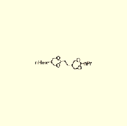 CCCCCC[C@H]1CO[C@H](CC[C@H]2CO[C@H](CCC)OC2)OC1